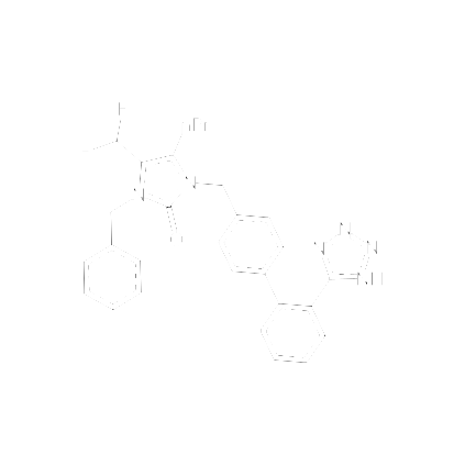 CCCc1c(C(F)F)n(Cc2ccccc2)c(=O)n1Cc1ccc(-c2ccccc2-c2nnn[nH]2)cc1